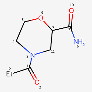 CCC(=O)N1CCOC(C(N)=O)C1